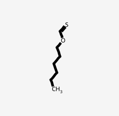 CCCCCCOC=S